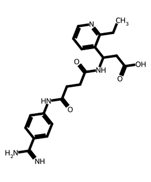 CCc1ncccc1C(CC(=O)O)NC(=O)CCC(=O)Nc1ccc(C(=N)N)cc1